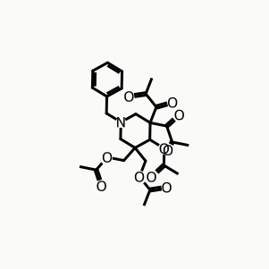 CC(=O)OCC1(COC(C)=O)CN(Cc2ccccc2)CC(C(=O)C(C)=O)(C(=O)C(C)=O)C1OC(C)=O